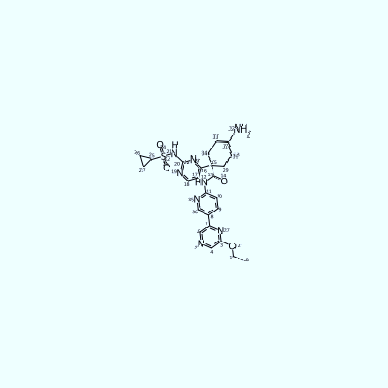 CCOc1cncc(-c2ccc(NC(=O)C3(c4ccnc(NS(=O)(=O)C5CC5)n4)CCC(N)CC3)nc2)n1